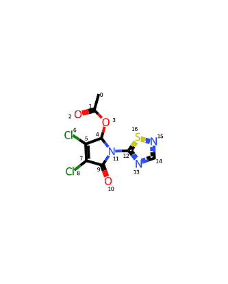 CC(=O)OC1C(Cl)=C(Cl)C(=O)N1c1ncns1